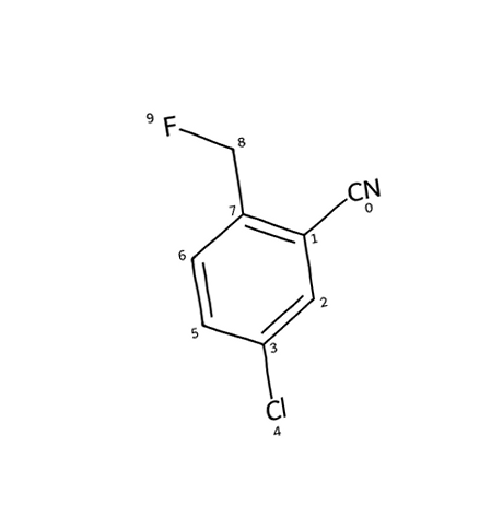 N#Cc1cc(Cl)ccc1CF